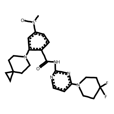 C[S+]([O-])c1ccc(C(=O)Nc2nccc(N3CCC(F)(F)CC3)n2)c(N2CCC3(CC2)CC3)c1